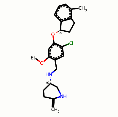 C=C1CC[C@H](NCc2cc(Cl)c(O[C@H]3CCc4c(C)cccc43)cc2OCC)CN1